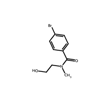 CN(CCO)C(=O)c1ccc(Br)cc1